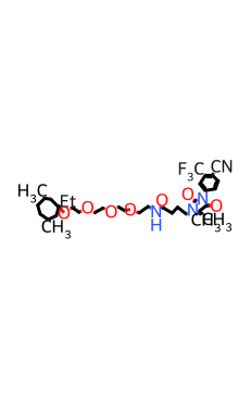 CCC1(OCCOCCOCCOCCNC(=O)CCCN2C(=O)N(c3ccc(C#N)c(C(F)(F)F)c3)C(=O)C2(C)C)CC(C)CCC(C)C1